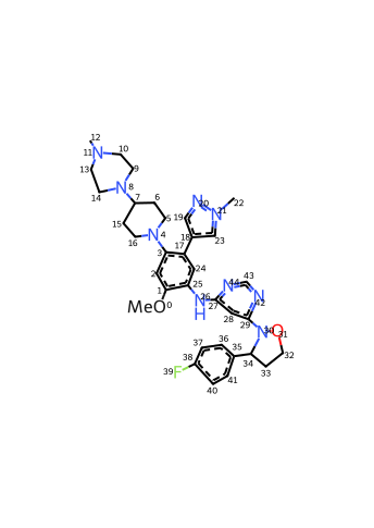 COc1cc(N2CCC(N3CCN(C)CC3)CC2)c(-c2cnn(C)c2)cc1Nc1cc(N2OCCC2c2ccc(F)cc2)ncn1